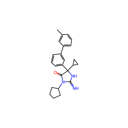 Cc1cccc(-c2cccc(C3(C4CC4)NC(=N)N(C4CCCC4)C3=O)c2)c1